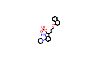 O=C(O)Oc1[nH]c2c(N3CCCCC3)cccc2c1CCCOc1cccc2ccccc12